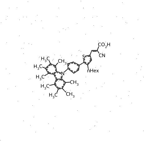 CCCCCCc1cc(/C=C(\C#N)C(=O)O)sc1-c1ccc(-n2c3c(C)c(C)c(C)c(C)c3c3c(C)c(C)c(C)c(C)c32)cc1